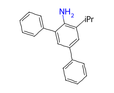 CC(C)c1cc(-c2ccccc2)cc(-c2ccccc2)c1N